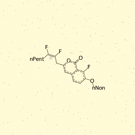 CCCCCCCCCOc1ccc2cc(C/C(F)=C(/F)CCCCC)oc(=O)c2c1F